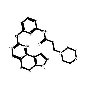 O=C(CCN1CCOCC1)Nc1cccc(Nc2ncc3c(n2)-c2ccsc2CC3)c1